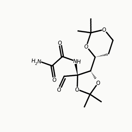 CC1(C)OCC[C@H]([C@@H]2OC(C)(C)O[C@@]2(C=O)NC(=O)C(N)=O)O1